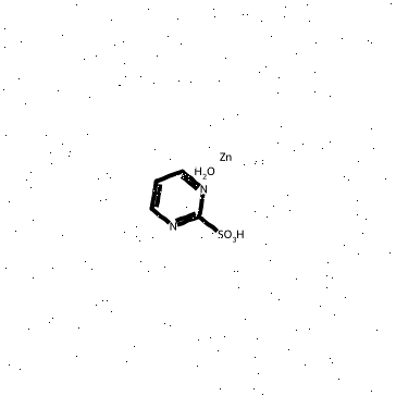 O.O=S(=O)(O)c1ncccn1.[Zn]